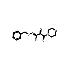 CC/C(=N\OCc1ccccc1)C(=O)C(=O)N1CCOCC1